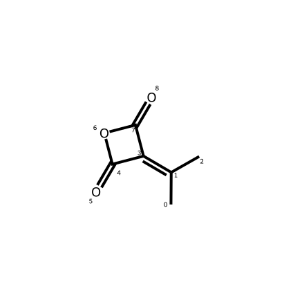 CC(C)=C1C(=O)OC1=O